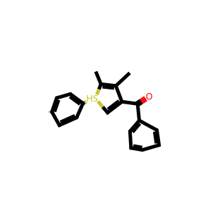 CC1=C(C)[SH](c2cc[c]cc2)C=C1C(=O)c1ccccc1